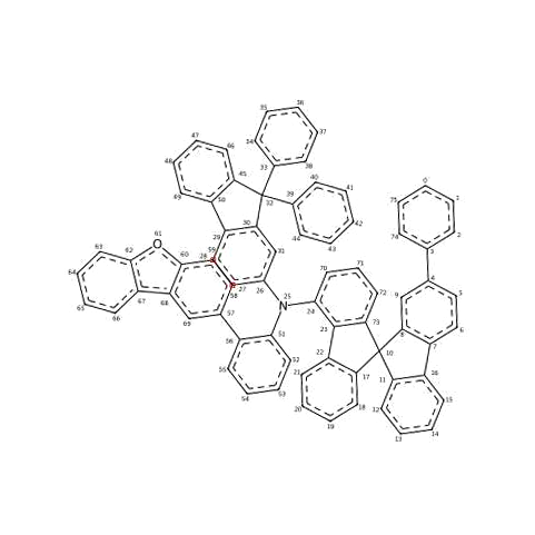 c1ccc(-c2ccc3c(c2)C2(c4ccccc4-3)c3ccccc3-c3c(N(c4ccc5c(c4)C(c4ccccc4)(c4ccccc4)c4ccccc4-5)c4ccccc4-c4ccc5oc6ccccc6c5c4)cccc32)cc1